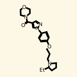 CCC1CCCN1CCCOc1ccc(-n2cc(C(=O)N3CCOCC3)cn2)cc1